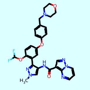 Cn1cc(NC(=O)c2cnn3cccnc23)c(-c2cc(Oc3ccc(CN4CCOCC4)cc3)ccc2OC(F)F)n1